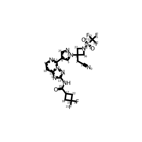 N#CCC1(n2cc(-c3nccc4nc(NC(=O)C5CC(F)(F)C5)nn34)cn2)CN(S(=O)(=O)C(F)(F)F)C1